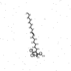 CCCCCCCCC=CCCCCCCC(C(=O)O)C(C)OC